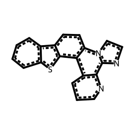 c1ccc2c(c1)sc1c2ccc2c1c1cccnc1c1nccn21